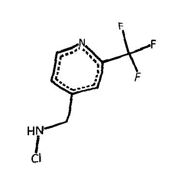 FC(F)(F)c1cc(CNCl)ccn1